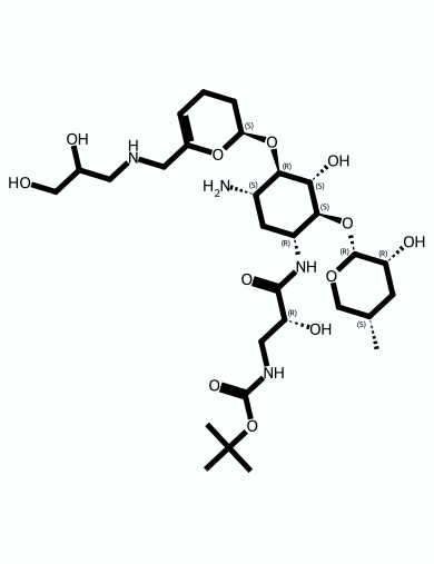 C[C@@H]1CO[C@H](O[C@@H]2[C@@H](O)[C@H](O[C@@H]3CCC=C(CNCC(O)CO)O3)[C@@H](N)C[C@H]2NC(=O)[C@H](O)CNC(=O)OC(C)(C)C)[C@H](O)C1